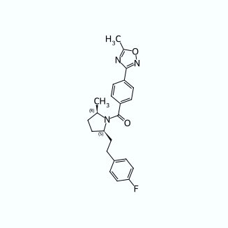 Cc1nc(-c2ccc(C(=O)N3[C@@H](CCc4ccc(F)cc4)CC[C@H]3C)cc2)no1